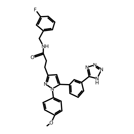 COc1ccc(-n2nc(CCC(=O)NCc3cccc(F)c3)cc2-c2cccc(-c3nnn[nH]3)c2)cc1